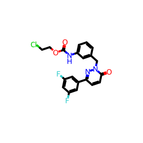 O=C(Nc1cccc(Cn2nc(-c3cc(F)cc(F)c3)ccc2=O)c1)OCCCl